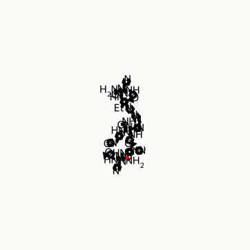 CCc1cc(Nc2nc(NC3CCOC4(CC4)C3)c(-c3ccncc3)nc2C(N)=O)ccc1N1CCC(N2CCN(Cc3cc(-c4nc(C(N)=O)c(Nc5ccc(CN6CCOCC6)cc5)nc4NC4CCOC5(C4)CC5c4cc(Nc5nc(NC6CCOC7(CC7)C6)c(-c6ccncc6)nc5C(N)=O)ccc4N4CCN(C)CC4)ccn3)CC2)CC1